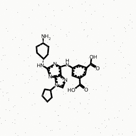 N[C@H]1CC[C@H](Nc2nc(Nc3cc(C(=O)O)cc(C(=O)O)c3)c3ncn(C4CCCC4)c3n2)CC1